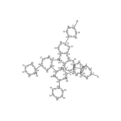 Cc1ccc(-c2ccc3c(c2)c2cc(-c4ccc(C)cc4)ccc2n3-c2ccc(-c3ccccn3)cc2-c2nc(-c3ccccc3)nc(-c3ccccc3)n2)cc1